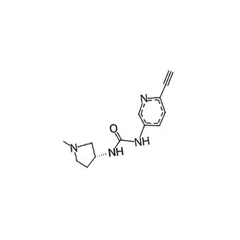 C#Cc1ccc(NC(=O)N[C@@H]2CCN(C)C2)cn1